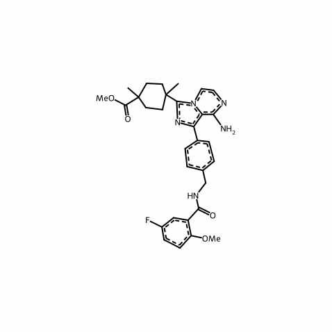 COC(=O)C1(C)CCC(C)(c2nc(-c3ccc(CNC(=O)c4cc(F)ccc4OC)cc3)c3c(N)nccn23)CC1